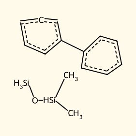 C[SiH](C)O[SiH3].c1ccc(-c2ccccc2)cc1